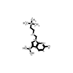 C[Si](C)(C)CCOCn1cc(B(O)O)c2ccc(Cl)nc21